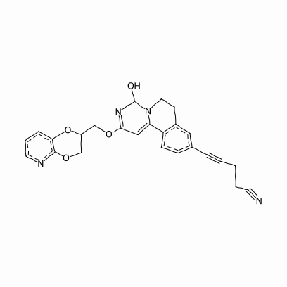 N#CCCC#Cc1ccc2c(c1)CCN1C2=CC(OCC2COc3ncccc3O2)=NC1O